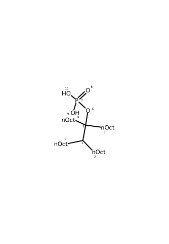 CCCCCCCCC(CCCCCCCC)C(CCCCCCCC)(CCCCCCCC)OP(=O)(O)O